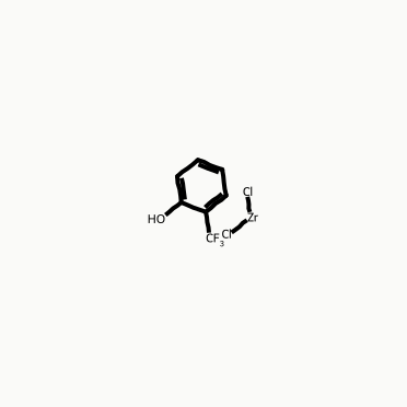 Oc1ccccc1C(F)(F)F.[Cl][Zr][Cl]